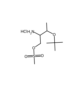 CC(OC(C)(C)C)C(N)COS(C)(=O)=O.Cl